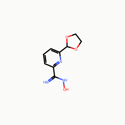 N=C(NO)c1cccc(C2OCCO2)n1